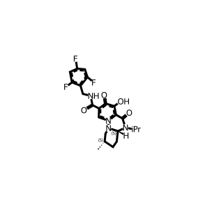 CC(C)N1C(=O)c2c(O)c(=O)c(C(=O)NCc3c(F)cc(F)cc3F)cn2N2C[C@@H](C)CC[C@@H]12